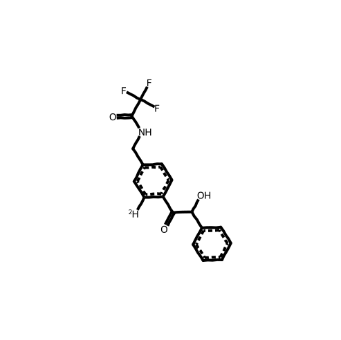 [2H]c1cc(CNC(=O)C(F)(F)F)ccc1C(=O)C(O)c1ccccc1